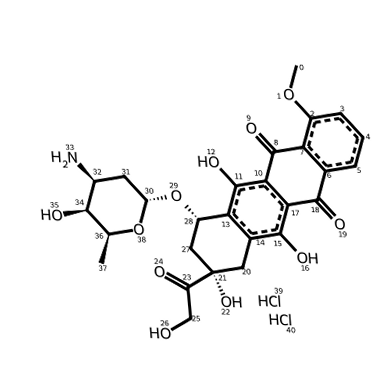 COc1cccc2c1C(=O)c1c(O)c3c(c(O)c1C2=O)C[C@@](O)(C(=O)CO)C[C@@H]3O[C@H]1C[C@H](N)[C@H](O)[C@H](C)O1.Cl.Cl